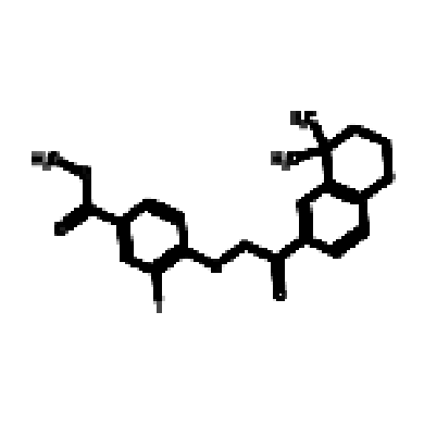 COC(=O)c1ccc(OCC(=O)c2ccc3c(c2)C(C)(C)CCC3)c(I)c1